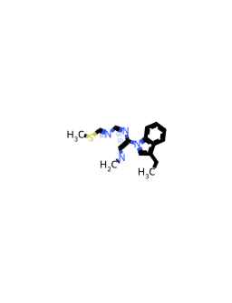 C=N/C=C(/N=C\N=C\SC)n1cc(CC)c2ccccc21